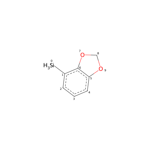 [SiH3]c1cccc2c1OCO2